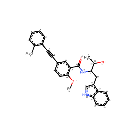 COc1ccccc1C#Cc1ccc(OC(C)C)c(C(=O)NC(Cc2c[nH]c3ccccc23)[C@@H](C)O)c1